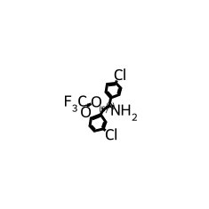 N[C@H](c1ccc(Cl)cc1)[C@@H](OC(=O)C(F)(F)F)c1cccc(Cl)c1